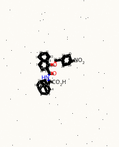 O=C(NC(C(=O)O)C12CC3CC(CC(C3)C1)C2)c1ccc2ccccc2c1OCc1ccc([N+](=O)[O-])cc1